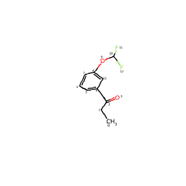 CCC(=O)c1cccc(OC(F)F)c1